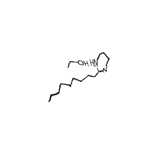 CCCCCCCCCC1=NCCN1.CCO